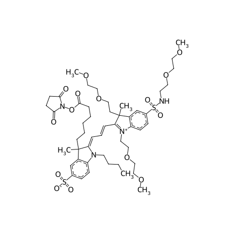 CCCCN1C(=CC=CC2=[N+](CCOCCOC)c3ccc(S(=O)(=O)NCCOCCOC)cc3C2(C)CCOCCOC)C(C)(CCCCCC(=O)ON2C(=O)CCC2=O)c2cc(S(=O)(=O)[O-])ccc21